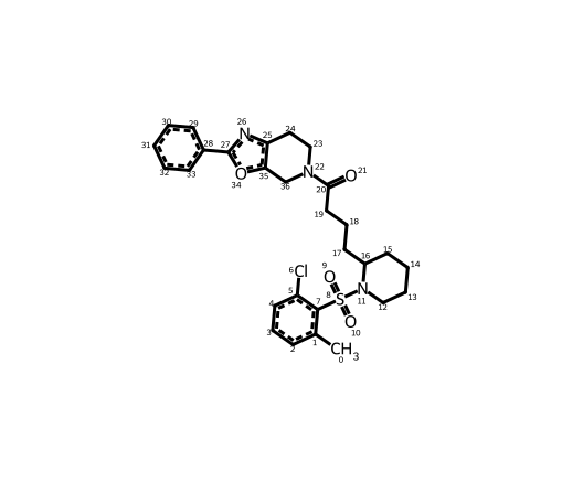 Cc1cccc(Cl)c1S(=O)(=O)N1CCCCC1CCCC(=O)N1CCc2nc(-c3ccccc3)oc2C1